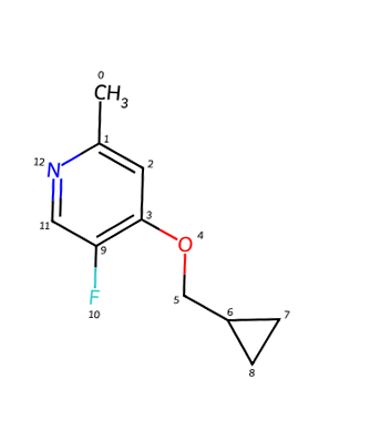 Cc1cc(OCC2CC2)c(F)cn1